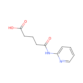 O=C(O)CCCC(=O)Nc1ccccn1